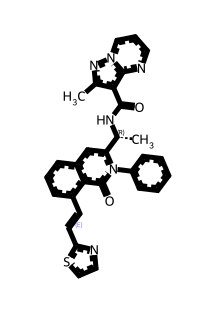 Cc1nn2cccnc2c1C(=O)N[C@H](C)c1cc2cccc(/C=C/c3nccs3)c2c(=O)n1-c1ccccc1